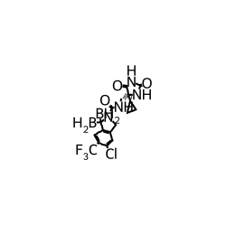 BC1(B)c2cc(C(F)(F)F)c(Cl)cc2CN1C(=O)NC[C@@]1(C2CC2)NC(=O)NC1=O